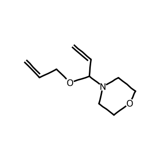 C=CCOC(C=C)N1CCOCC1